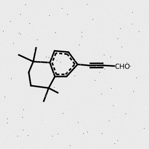 CC1(C)CCC(C)(C)c2cc(C#C[C]=O)ccc21